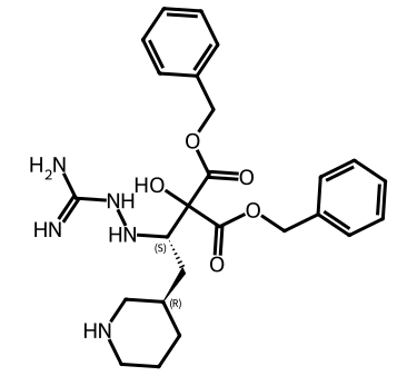 N=C(N)NN[C@@H](C[C@H]1CCCNC1)C(O)(C(=O)OCc1ccccc1)C(=O)OCc1ccccc1